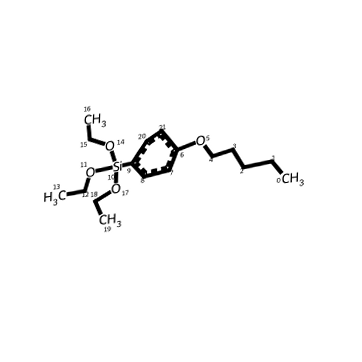 CCCCCOc1ccc([Si](OCC)(OCC)OCC)cc1